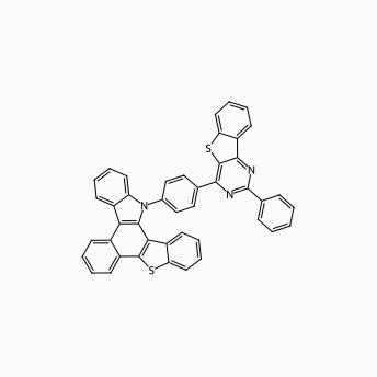 c1ccc(-c2nc(-c3ccc(-n4c5ccccc5c5c6ccccc6c6sc7ccccc7c6c54)cc3)c3sc4ccccc4c3n2)cc1